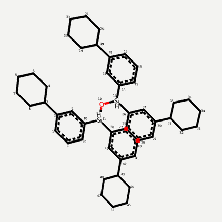 c1cc(C2CCCCC2)cc([SiH](O[SiH](c2cccc(C3CCCCC3)c2)c2cccc(C3CCCCC3)c2)c2cccc(C3CCCCC3)c2)c1